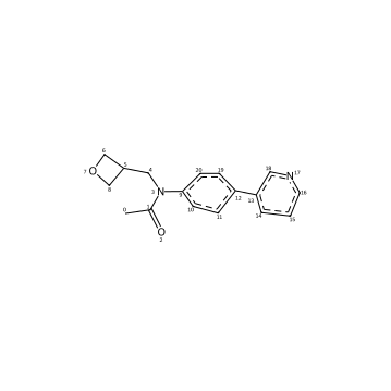 CC(=O)N(CC1COC1)c1ccc(-c2cccnc2)cc1